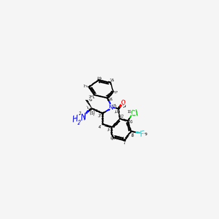 C[C@H](N)C1Cc2ccc(F)c(Cl)c2C(=O)N1c1ccccc1